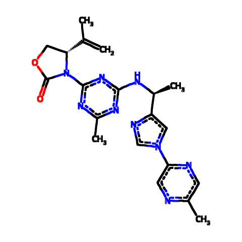 C=C(C)[C@H]1COC(=O)N1c1nc(C)nc(N[C@@H](C)c2cn(-c3cnc(C)cn3)cn2)n1